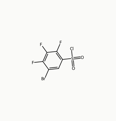 O=S(=O)(Cl)c1cc(Br)c(F)c(F)c1F